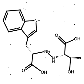 C[C@@H](O)[C@H](NN[C@@H](Cc1c[nH]c2ccccc12)C(=O)O)C(=O)O